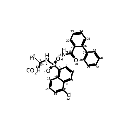 CC(C)[C@H](NS(=O)(=O)c1cccc2c(Cl)cccc12)C(=O)O.NC(=O)c1ccccc1-c1ccccc1